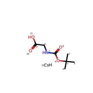 CC(C)(C)OC(=O)NCC(=O)O.[CsH]